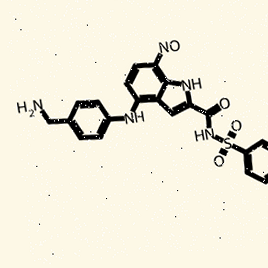 NCc1ccc(Nc2ccc(N=O)c3[nH]c(C(=O)NS(=O)(=O)c4ccccc4)cc23)cc1